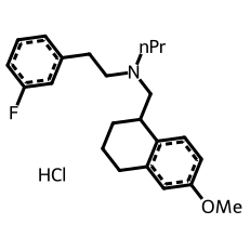 CCCN(CCc1cccc(F)c1)CC1CCCc2cc(OC)ccc21.Cl